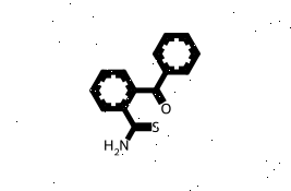 NC(=S)c1ccccc1C(=O)c1ccccc1